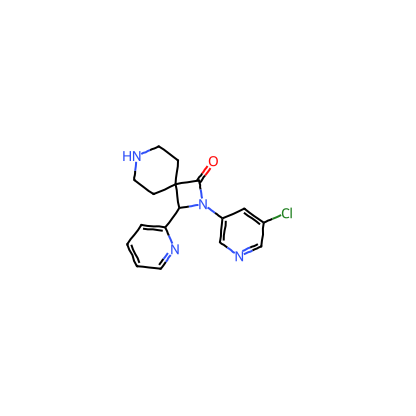 O=C1N(c2cncc(Cl)c2)C(c2ccccn2)C12CCNCC2